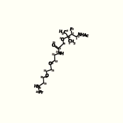 CC(=O)NCC(F)C(C)(C)OCC(=O)NCCOCCOCCNC(C)C